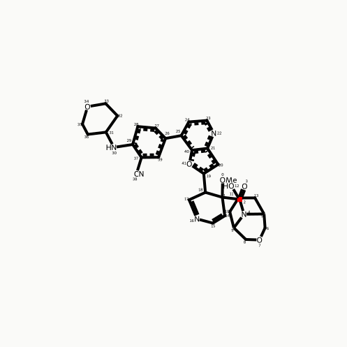 COC1(C(=O)N2C3COCC2CC(O)C3)C=CN=CC1c1cc2nccc(-c3ccc(NC4CCOCC4)c(C#N)c3)c2o1